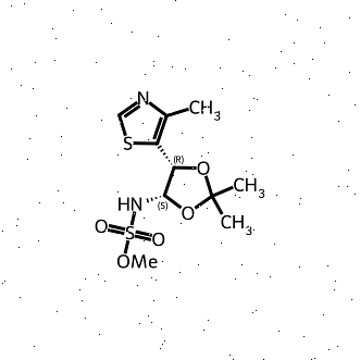 COS(=O)(=O)N[C@H]1OC(C)(C)O[C@H]1c1scnc1C